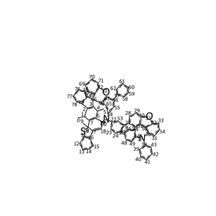 CC1C2=C3C(C)C4=C1C1(C)Sc5ccccc5C1=CC4(C)N(c1cccc(-c4ccc5oc6cccc(N(c7ccccc7)c7ccccc7)c6c5c4)c1)c1cc(-c4ccccc4)c4c(c1)C3(c1ccccc1O4)c1ccccc12